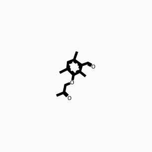 CC(=O)COc1c(C)cc(C)c(C=O)c1C